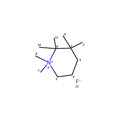 CC1(C)CCC[N+](C)(C)C1(C)C.[F-]